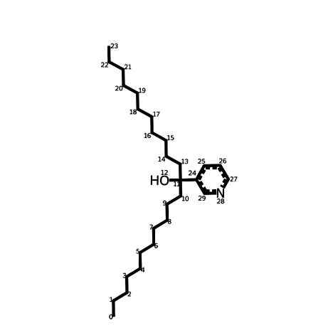 CCCCCCCCCCCC(O)(CCCCCCCCCCC)c1cccnc1